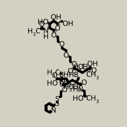 CBC(C)(CC(C)(CC(C)(CBC(C)(CC(C)(C)C(=O)O)C(=O)OCCOCCOCCO[C@@H]1O[C@H](CO)[C@H](O)[C@H](O)[C@H]1NC(C)=O)C(=O)NCC(C)O)C(=O)OCCSSc1ccccn1)C(=O)O